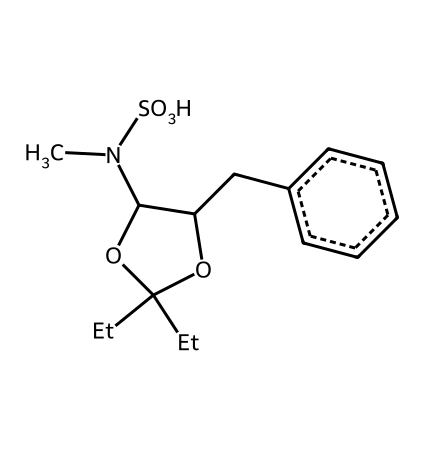 CCC1(CC)OC(Cc2ccccc2)C(N(C)S(=O)(=O)O)O1